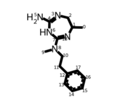 CC1CN=C(N)NC(N(C)CCc2ccccc2)=N1